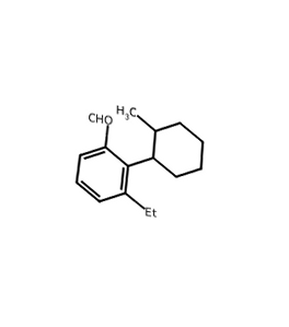 CCc1cccc(C=O)c1C1CCCCC1C